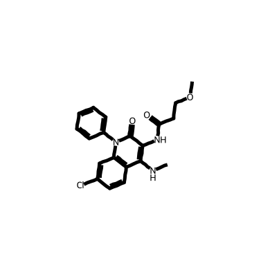 CNc1c(NC(=O)CCOC)c(=O)n(-c2ccccc2)c2cc(Cl)ccc12